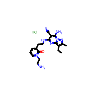 CCc1c(C)nn2c(N)c(C#N)c(NCCc3cccn(CCN)c3=O)nc12.Cl